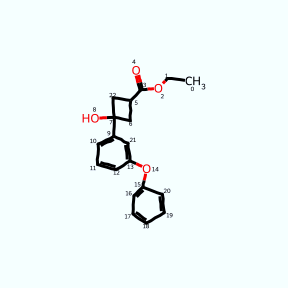 CCOC(=O)C1CC(O)(c2cccc(Oc3ccccc3)c2)C1